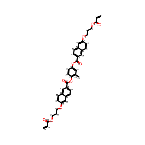 C=CC(=O)OCCCOc1ccc2cc(C(=O)Oc3ccc(OC(=O)c4ccc5cc(OCCCOC(=O)C=C)ccc5c4)c(C)c3)ccc2c1